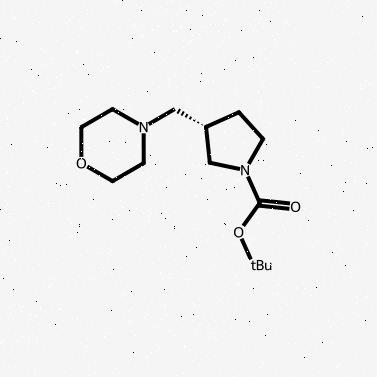 CC(C)(C)OC(=O)N1CC[C@@H](CN2CCOCC2)C1